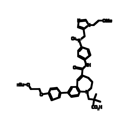 CCCCOCCOc1ccc(-c2ccc3c(c2)/C=C(/C(=O)Nc2ccc([S+]([O-])Cc4cncn4CCOC)cc2)CCCN3CC(C)(C)C(=O)O)cc1